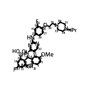 COc1ccc(OC)c(C(c2c(C)cc(F)cc2C)N(C(=O)O)c2ccnc(Nc3ccc(OCCN4CCN(C(C)C)CC4)c(F)c3)n2)c1